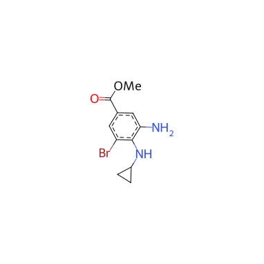 COC(=O)c1cc(N)c(NC2CC2)c(Br)c1